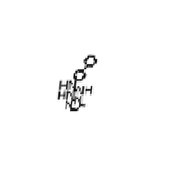 Cc1ccnc(NC(=N)Nc2ccc(-c3ccccc3)cc2)n1